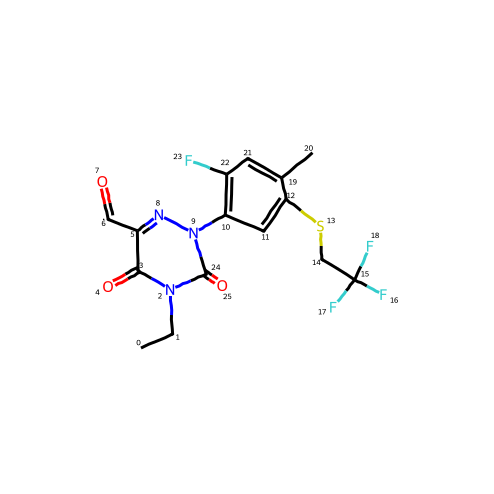 CCn1c(=O)c([C]=O)nn(-c2cc(SCC(F)(F)F)c(C)cc2F)c1=O